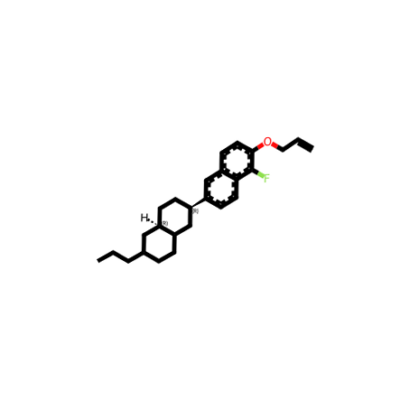 C=CCOc1ccc2cc([C@@H]3CC[C@@H]4CC(CCC)CCC4C3)ccc2c1F